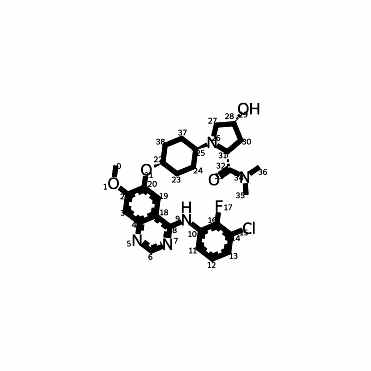 COc1cc2ncnc(Nc3cccc(Cl)c3F)c2cc1O[C@H]1CC[C@H](N2C[C@H](O)C[C@@H]2C(=O)N(C)C)CC1